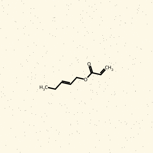 C=CC(=O)OCC=CCC